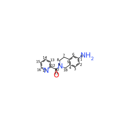 Nc1ccc2c(c1)CCN(C(=O)c1ccccn1)C2